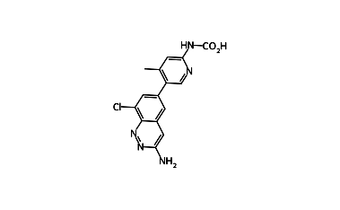 Cc1cc(NC(=O)O)ncc1-c1cc(Cl)c2nnc(N)cc2c1